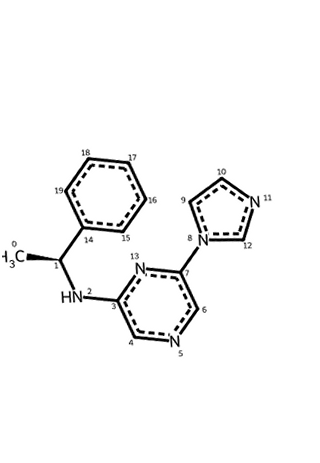 C[C@H](Nc1cncc(-n2ccnc2)n1)c1ccccc1